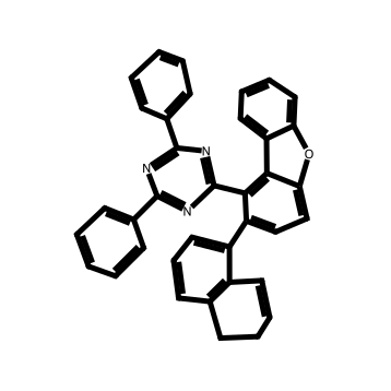 C1=Cc2c(cccc2-c2ccc3oc4ccccc4c3c2-c2nc(-c3ccccc3)nc(-c3ccccc3)n2)CC1